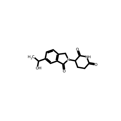 CC(O)c1ccc2c(c1)C(=O)N(C1CCC(=O)NC1=O)C2